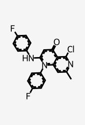 Cc1cc2c(c(Cl)n1)c(=O)cc(Nc1ccc(F)cc1)n2-c1ccc(F)cc1